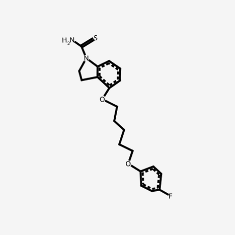 NC(=S)N1CCc2c(OCCCCCOc3ccc(F)cc3)cccc21